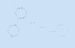 Cl.Clc1ccc(OCCCNC2CCCCC2)c(-c2ccccc2)c1